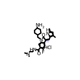 Cc1cc(C)c(/C=C2\C(=O)N(CC3CCC(N)CC3)c3cc(C(=O)NCCN(C)C)c(F)cc32)[nH]1.Cl